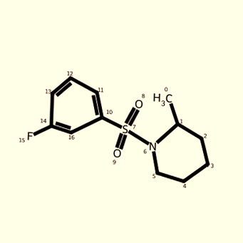 CC1C[CH]CCN1S(=O)(=O)c1cccc(F)c1